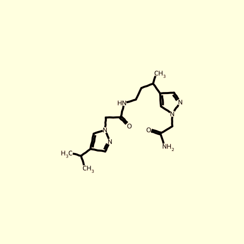 CC(C)c1cnn(CC(=O)NCCC(C)c2cnn(CC(N)=O)c2)c1